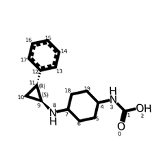 O=C(O)NC1CCC(N[C@H]2C[C@@H]2c2ccccc2)CC1